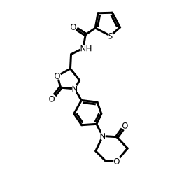 O=C(NCC1CN(c2ccc(N3CCOCC3=O)cc2)C(=O)O1)c1cccs1